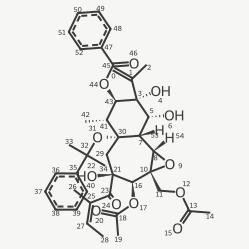 C=C(C)[C@@]1(O)[C@H](O)[C@@H]2[C@@H]3O[C@]3(COC(C)=O)[C@@H](OC(C)=O)[C@](O)(C(=O)/C(C)=C\C)C[C@@]2(OC(C)(C)c2ccccc2)[C@H](C)[C@H]1OC(=O)c1ccccc1